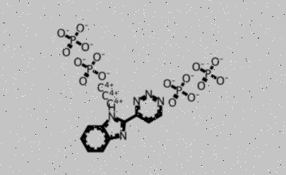 O=P([O-])([O-])[O-].O=P([O-])([O-])[O-].O=P([O-])([O-])[O-].O=P([O-])([O-])[O-].[C+4].[C+4].[C+4].c1ccc2[nH]c(-c3ccnnn3)nc2c1